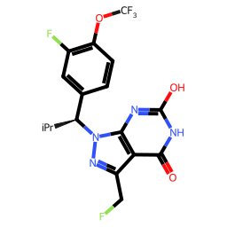 CC(C)[C@@H](c1ccc(OC(F)(F)F)c(F)c1)n1nc(CF)c2c(=O)[nH]c(O)nc21